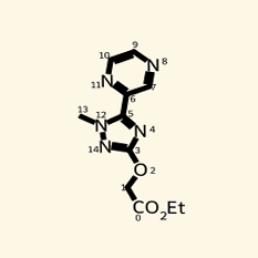 CCOC(=O)COc1nc(-c2cnccn2)n(C)n1